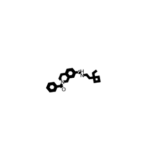 CCC1(CCNSc2ccc3c(c2)CN(C(=O)c2ccccc2)CC3)CCC1